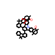 CC12CCC(C)(CC1)c1cc3c4c(-c5cccc6c5-c5ccccc5C6(C)C)cc(-c5cccc6c5-c5ccccc5C6(C)C)c5c6cc7c(cc6n(c3cc1C2=O)c45)C(=O)C1(C)CCC7(C)CC1